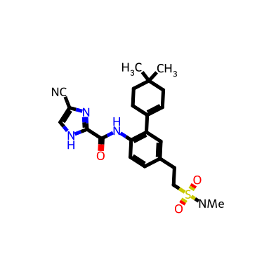 CNS(=O)(=O)CCc1ccc(NC(=O)c2nc(C#N)c[nH]2)c(C2=CCC(C)(C)CC2)c1